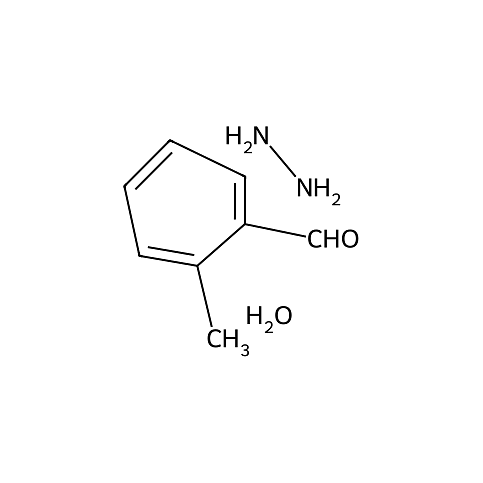 Cc1ccccc1C=O.NN.O